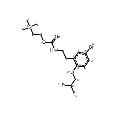 C[Si](C)(C)CCOC(=O)NCCc1cc(Br)ccc1OCC(F)F